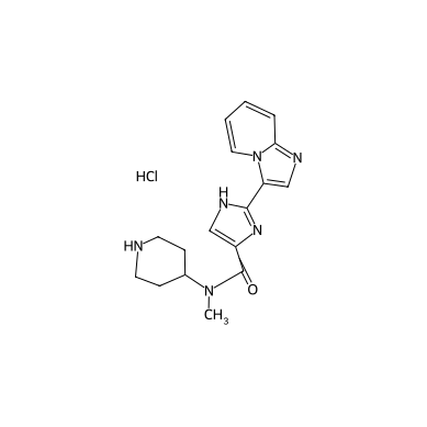 CN(C(=O)c1c[nH]c(-c2cnc3ccccn23)n1)C1CCNCC1.Cl